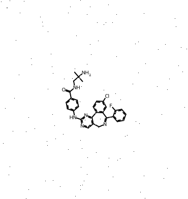 CC(C)(N)CNC(=O)c1ccc(Nc2ncc3c(n2)-c2ccc(Cl)cc2C(c2ccccc2F)=NC3)cc1